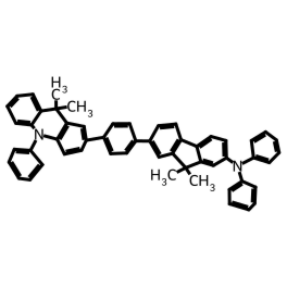 CC1(C)c2cc(-c3ccc(-c4ccc5c(c4)C(C)(C)c4ccccc4N5c4ccccc4)cc3)ccc2-c2ccc(N(c3ccccc3)c3ccccc3)cc21